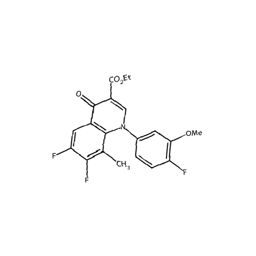 CCOC(=O)c1cn(-c2ccc(F)c(OC)c2)c2c(C)c(F)c(F)cc2c1=O